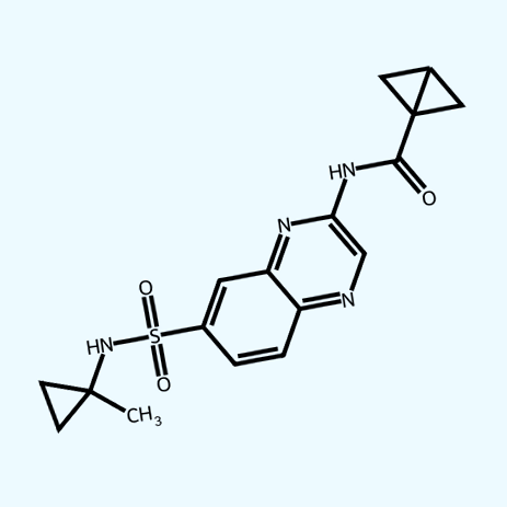 CC1(NS(=O)(=O)c2ccc3ncc(NC(=O)C45CC4C5)nc3c2)CC1